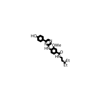 CCN(CC)CCNC(=O)c1ccc(Nc2cncc(-c3ccc(O)cc3)n2)c(OC)c1